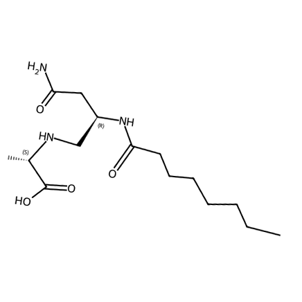 CCCCCCCC(=O)N[C@@H](CN[C@@H](C)C(=O)O)CC(N)=O